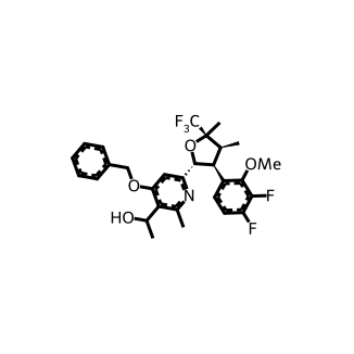 COc1c([C@H]2[C@H](c3cc(OCc4ccccc4)c(C(C)O)c(C)n3)O[C@@](C)(C(F)(F)F)[C@H]2C)ccc(F)c1F